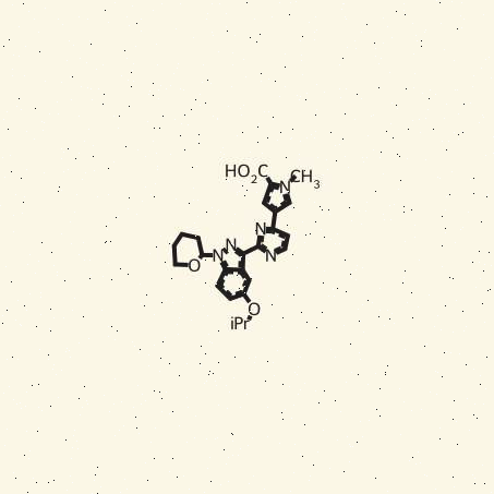 CC(C)Oc1ccc2c(c1)c(-c1nccc(-c3cc(C(=O)O)n(C)c3)n1)nn2C1CCCCO1